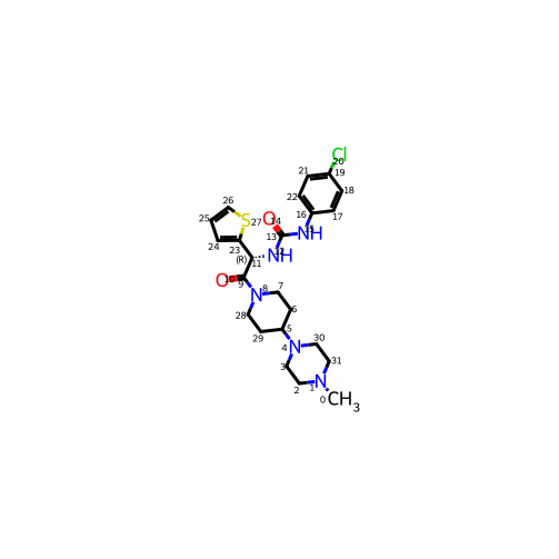 CN1CCN(C2CCN(C(=O)[C@@H](NC(=O)Nc3ccc(Cl)cc3)c3cccs3)CC2)CC1